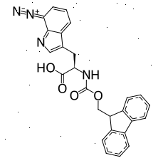 [N-]=[N+]=C1C=CC=C2C(C[C@@H](NC(=O)OCC3c4ccccc4-c4ccccc43)C(=O)O)=CN=C21